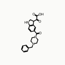 O=C(O)C(=O)C1CNc2ccc(C(=O)N3CCN(Cc4ccccc4)CC3)cc21